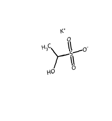 CC(O)S(=O)(=O)[O-].[K+]